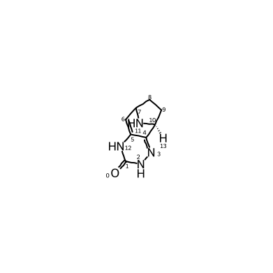 O=C1NN=C2C(=CC3CC[C@@H]2N3)N1